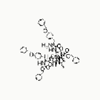 CC(C)[C@H](NC(=O)[C@@H](N)Cc1ccc(OCc2ccccc2)cc1)C(=O)N(C(=O)OCc1ccccc1)c1n[nH]c(=S)s1.O=C(N[C@@H](Cc1ccc(OCc2ccccc2)cc1)C(=O)O)OCc1ccccc1